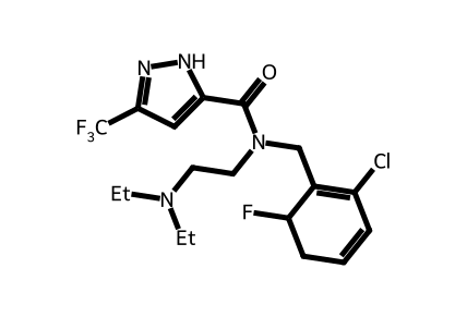 CCN(CC)CCN(CC1=C(Cl)C=CCC1F)C(=O)c1cc(C(F)(F)F)n[nH]1